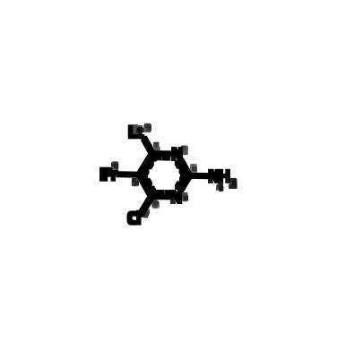 CCc1nc(N)nc(Cl)c1C(C)C